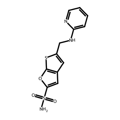 NS(=O)(=O)c1cc2cc(CNc3ccccn3)sc2o1